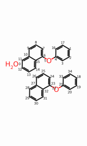 O.c1ccc(Oc2cccc3ccccc23)cc1.c1ccc(Oc2cccc3ccccc23)cc1